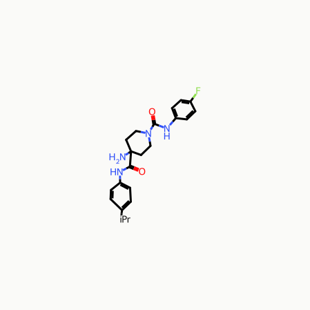 CC(C)c1ccc(NC(=O)C2(N)CCN(C(=O)Nc3ccc(F)cc3)CC2)cc1